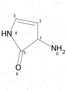 NC1C=CNC1=O